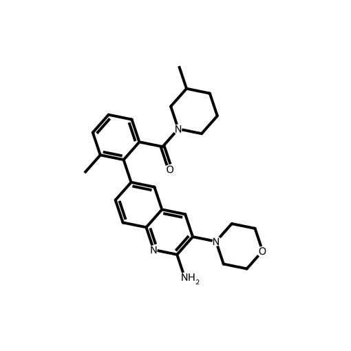 Cc1cccc(C(=O)N2CCCC(C)C2)c1-c1ccc2nc(N)c(N3CCOCC3)cc2c1